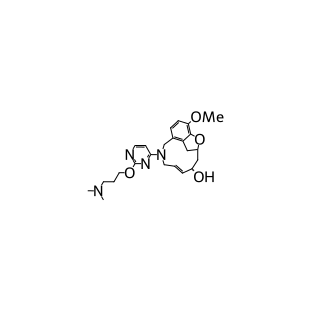 COc1ccc2c3c1OC(C3)C[C@@H](O)/C=C/CN(c1ccnc(OCCCN(C)C)n1)C2